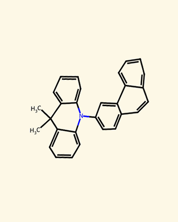 CC1(C)c2ccccc2N(c2ccc3ccc4ccccc4c3c2)c2ccccc21